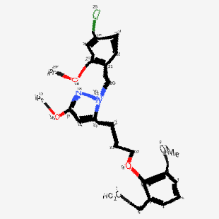 COc1cccc(CC(=O)O)c1OCCCc1cc(OC(C)C)nn1Cc1ccc(Cl)cc1OC(C)C